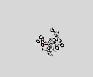 CC(C)(C)OC(=O)C(C)(C)ON=C(C(=O)NC1C(=O)N2C(C(=O)OC(=O)c3ccccc3Cc3ccccc3)=C(c3cnc(Nc4cccnc4)s3)C[S+]([O-])C12)c1csc(NC(c2ccccc2)(c2ccccc2)c2ccccc2)n1